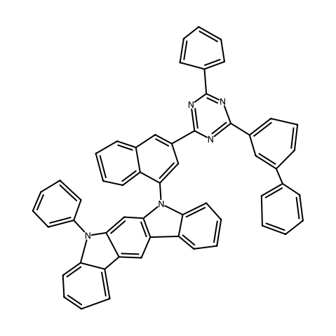 c1ccc(-c2cccc(-c3nc(-c4ccccc4)nc(-c4cc(-n5c6ccccc6c6cc7c8ccccc8n(-c8ccccc8)c7cc65)c5ccccc5c4)n3)c2)cc1